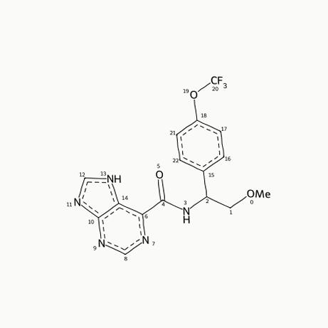 COCC(NC(=O)c1ncnc2nc[nH]c12)c1ccc(OC(F)(F)F)cc1